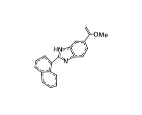 C=C(OC)c1ccc2nc(-c3cccc4ccccc34)[nH]c2c1